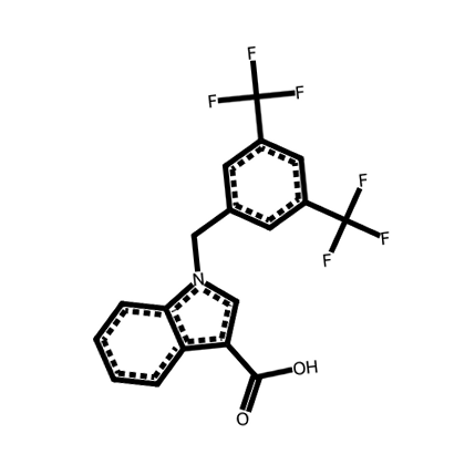 O=C(O)c1cn(Cc2cc(C(F)(F)F)cc(C(F)(F)F)c2)c2ccccc12